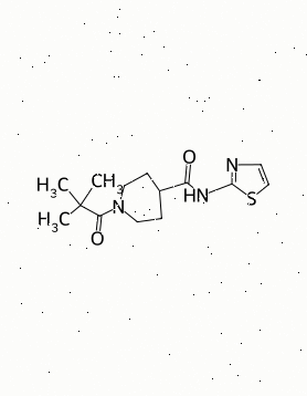 CC(C)(C)C(=O)N1CCC(C(=O)Nc2nccs2)CC1